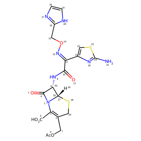 CC(=O)OCC1=C(C(=O)O)N2C(=O)[C@H](NC(=O)C(=NOCc3ncc[nH]3)c3csc(N)n3)[C@@H]2SC1